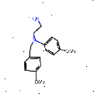 COc1ccc(CN(CCN)c2ccc(OC)cc2)cc1